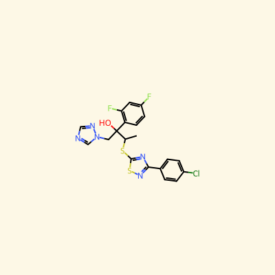 CC(Sc1nc(-c2ccc(Cl)cc2)ns1)C(O)(Cn1cncn1)c1ccc(F)cc1F